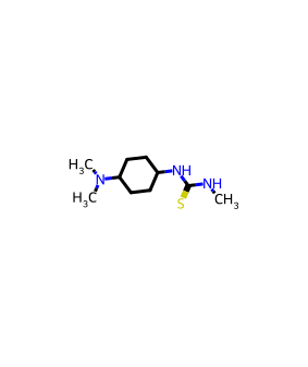 CNC(=S)NC1CCC(N(C)C)CC1